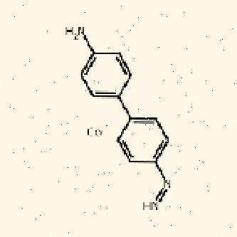 N=Nc1ccc(-c2ccc(N)cc2)cc1.[Co]